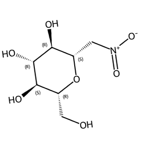 O=[N+]([O-])C[C@@H]1O[C@H](CO)[C@@H](O)[C@H](O)[C@H]1O